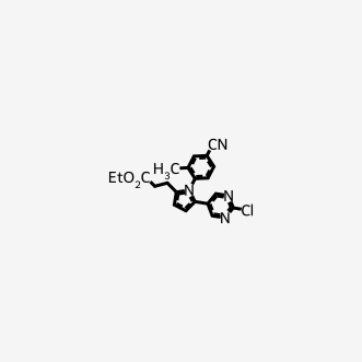 CCOC(=O)CCc1ccc(-c2cnc(Cl)nc2)n1-c1ccc(C#N)cc1C